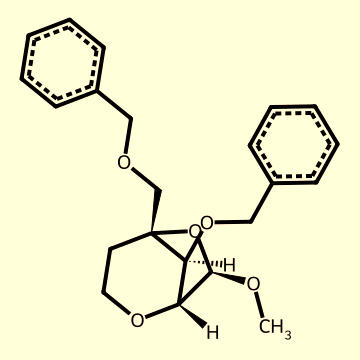 CO[C@@H]1O[C@@]2(COCc3ccccc3)CCO[C@@H]1[C@@H]2OCc1ccccc1